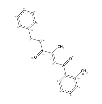 C/C(=C\C(=O)c1ccccc1C)C(=O)OCc1ccccc1